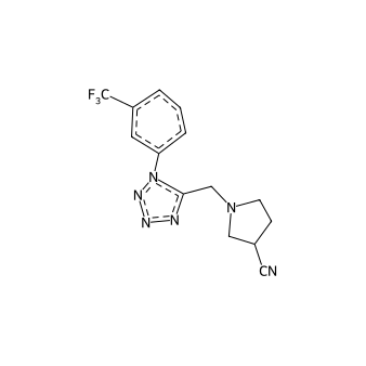 N#CC1CCN(Cc2nnnn2-c2cccc(C(F)(F)F)c2)C1